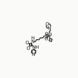 O=c1c(NCCCCCCS(=O)(=O)N(OCCN2CCOCC2)C2CCC2)c(Nc2ccncc2)c1=O